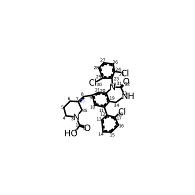 O=C(O)N1CCC/C(=C/c2cc(-c3ccccc3Cl)c3c(c2)N(c2c(Cl)cccc2Cl)C(=O)NC3)C1